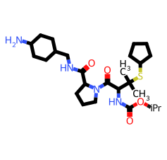 CC(C)OC(=O)NC(C(=O)N1CCCC1C(=O)NCC1CCC(N)CC1)C(C)(C)SC1CCCC1